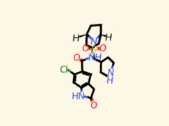 O=C1Cc2cc(C(=O)N[C@@H]3C[C@H]4CC[C@@H](C3)N4S(=O)(=O)CC3CCNCC3)c(Cl)cc2N1